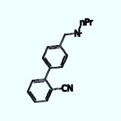 CCC[N]Cc1ccc(-c2ccccc2C#N)cc1